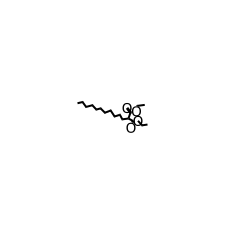 CCCCCCCCCCCC(C(=O)OCC)C(=O)OCC